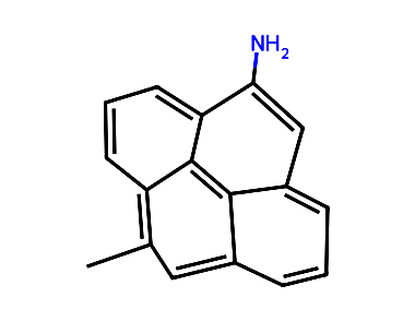 Cc1cc2cccc3cc(N)c4cccc1c4c23